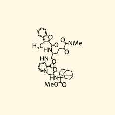 CNC(=O)C(=O)CC[C@H](NC(=O)c1oc2ccccc2c1C)C(=O)Nc1cccn(CC(=O)NC2(C(=O)OC)C3CC4CC(C3)CC2C4)c1=O